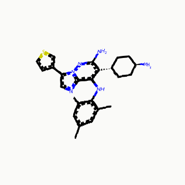 Cc1cc(C)c(Nc2c3ncc(-c4ccsc4)n3nc(N)c2[C@H]2CC[C@H](N)CC2)c(C)c1